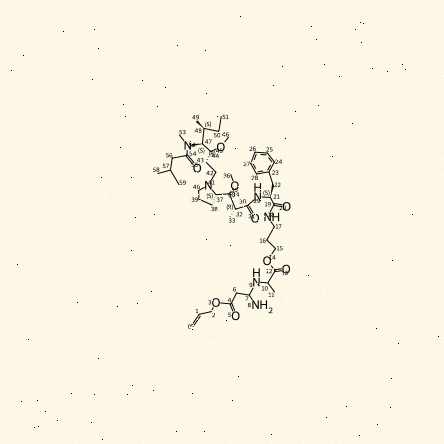 C=CCOC(=O)CC(N)NC(C)C(=O)OCCCNC(=O)[C@H](Cc1ccccc1)NC(=O)[C@H](C)[C@@H](OC)[C@@H]1CCCN1CC[C@@H](OC)[C@H]([C@@H](C)CC)N(C)C(=O)CC(C)C